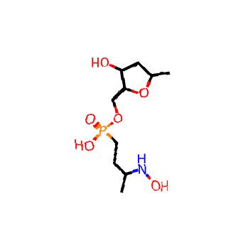 CC(CCP(=O)(O)OCC1OC(C)CC1O)NO